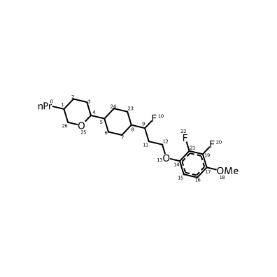 CCCC1CCC(C2CCC(C(F)CCOc3ccc(OC)c(F)c3F)CC2)OC1